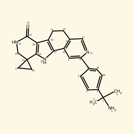 CC(C)(N)c1ccc(-c2cc3c(cn2)CCc2c-3[nH]c3c2C(=O)NCC32CC2)cc1